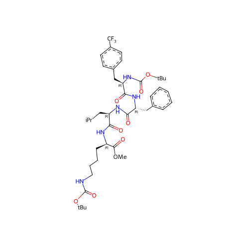 COC(=O)[C@@H](CCCCNC(=O)OC(C)(C)C)NC(=O)[C@@H](CC(C)C)NC(=O)[C@@H](Cc1ccccc1)NC(=O)[C@@H](Cc1ccc(C(F)(F)F)cc1)NC(=O)OC(C)(C)C